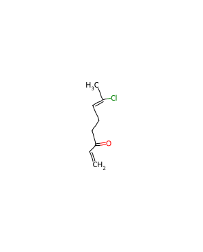 C=CC(=O)CCC=C(C)Cl